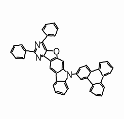 c1ccc(-c2nc(-c3ccccc3)c3oc4cc5c(cc4c3n2)c2ccccc2n5-c2ccc3c4ccccc4c4ccccc4c3c2)cc1